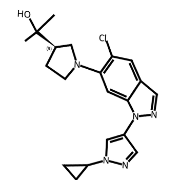 CC(C)(O)[C@@H]1CCN(c2cc3c(cnn3-c3cnn(C4CC4)c3)cc2Cl)C1